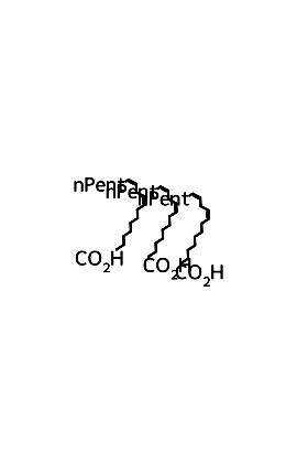 CCCCC/C=C\C/C=C\CCCCCCCC(=O)O.CCCCC/C=C\C/C=C\CCCCCCCC(=O)O.CCCCC/C=C\C/C=C\CCCCCCCC(=O)O